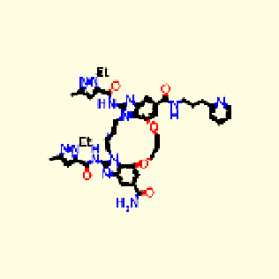 CCn1nc(C)cc1C(=O)Nc1nc2cc(C(N)=O)cc3c2n1C/C=C/Cn1c(NC(=O)c2cc(C)nn2CC)nc2cc(C(=O)NCCCc4ccccn4)cc(c21)OCCCO3